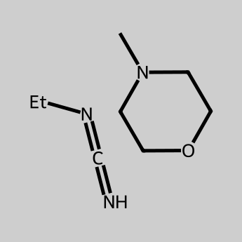 CCN=C=N.CN1CCOCC1